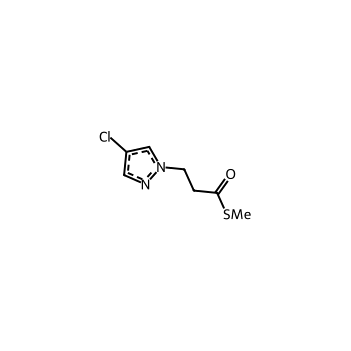 CSC(=O)CCn1cc(Cl)cn1